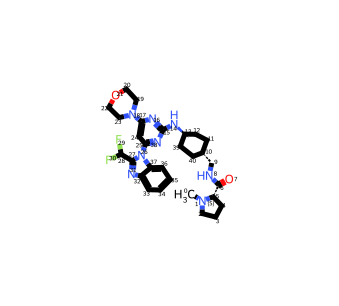 CN1CCC[C@H]1C(=O)NC[C@H]1CC[C@H](Nc2nc(N3CCOCC3)cc(-n3c(C(F)F)nc4ccccc43)n2)CC1